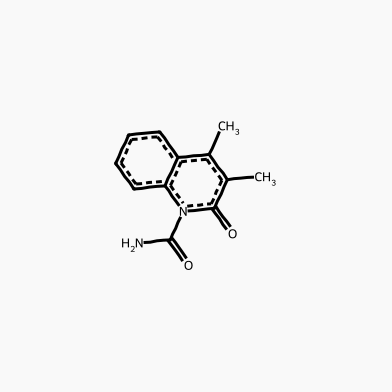 Cc1c(C)c2ccccc2n(C(N)=O)c1=O